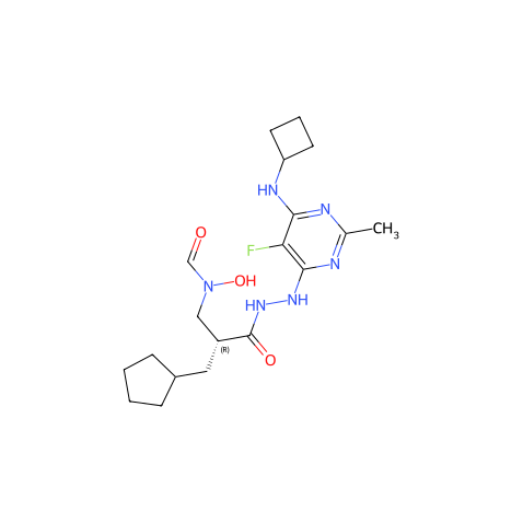 Cc1nc(NNC(=O)[C@H](CC2CCCC2)CN(O)C=O)c(F)c(NC2CCC2)n1